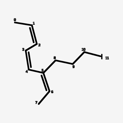 C\C=C/C=C\C(=C/C)CCCI